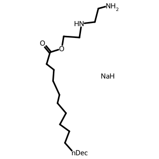 CCCCCCCCCCCCCCCCCCCC(=O)OCCNCCN.[NaH]